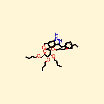 CCCCOC[C@H]1O[C@]2(OCc3cc4[nH]nc(Cc5ccc(CC)cc5)c4cc32)[C@H](OCCCC)[C@@H](OCCCC)[C@@H]1OCCCC